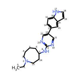 CCN1CCCCC(Nc2ncc(-c3ccc4[nH]ccc4c3)cn2)CC1